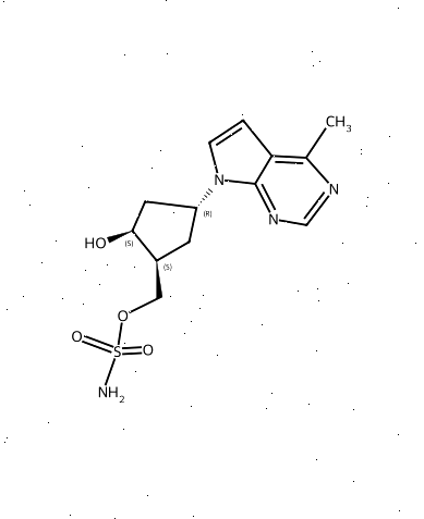 Cc1ncnc2c1ccn2[C@@H]1C[C@@H](COS(N)(=O)=O)[C@@H](O)C1